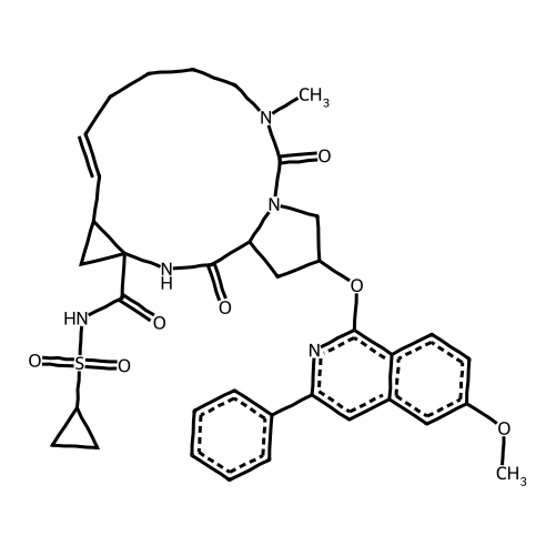 COc1ccc2c(OC3CC4C(=O)NC5(C(=O)NS(=O)(=O)C6CC6)CC5/C=C/CCCCN(C)C(=O)N4C3)nc(-c3ccccc3)cc2c1